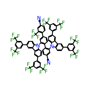 N#Cc1ccc(-c2ccc(-c3ccc(C#N)cc3C(F)(F)F)cc2-n2c3ccc(-c4cc(C(F)(F)F)cc(C(F)(F)F)c4)cc3c3cc(-c4cc(C(F)(F)F)cc(C(F)(F)F)c4)ccc32)c(-n2c3ccc(-c4cc(C(F)(F)F)cc(C(F)(F)F)c4)cc3c3cc(-c4cc(C(F)(F)F)cc(C(F)(F)F)c4)ccc32)c1